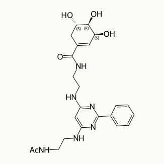 CC(=O)NCCNc1cc(NCCNC(=O)C2=C[C@H](O)[C@H](O)[C@@H](O)C2)nc(-c2ccccc2)n1